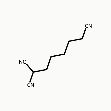 N#CCCCCCC(C#N)C#N